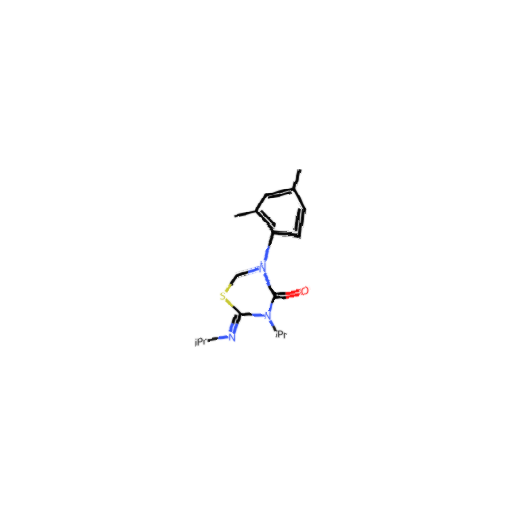 Cc1ccc(N2CSC(=NC(C)C)N(C(C)C)C2=O)c(C)c1